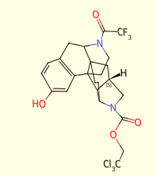 O=C(OCC(Cl)(Cl)Cl)N1C[C@H]2CC34CCC1C2C31CCN(C(=O)C(F)(F)F)C4Cc2ccc(O)cc21